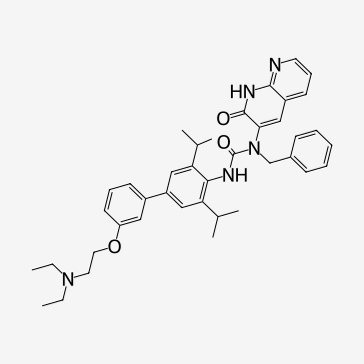 CCN(CC)CCOc1cccc(-c2cc(C(C)C)c(NC(=O)N(Cc3ccccc3)c3cc4cccnc4[nH]c3=O)c(C(C)C)c2)c1